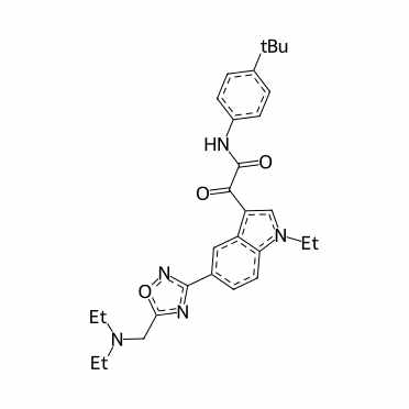 CCN(CC)Cc1nc(-c2ccc3c(c2)c(C(=O)C(=O)Nc2ccc(C(C)(C)C)cc2)cn3CC)no1